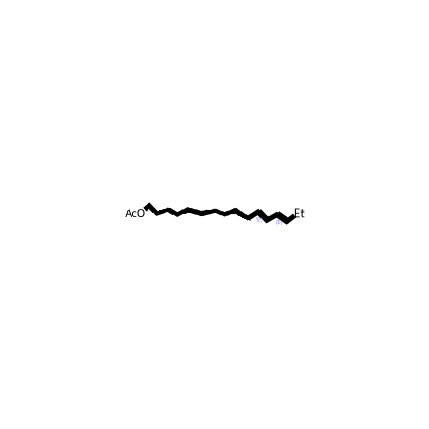 CC/C=C/C=C/CCCCCCCCCCOC(C)=O